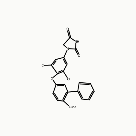 COc1ccc(Oc2c(Cl)cc(N3CC(=O)NC3=O)cc2Cl)cc1-c1ccccc1